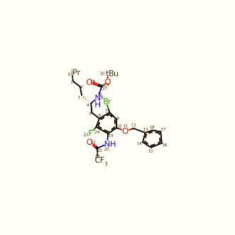 CC(C)CCC[C@@H](Cc1c(Br)cc(OCc2ccccc2)c(NC(=O)C(F)(F)F)c1F)NC(=O)OC(C)(C)C